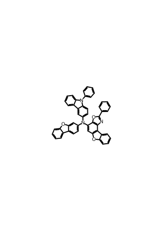 c1ccc(-c2nc3c(o2)c(N(c2ccc4c(c2)oc2ccccc24)c2ccc4c(c2)c2ccccc2n4-c2ccccc2)cc2oc4ccccc4c23)cc1